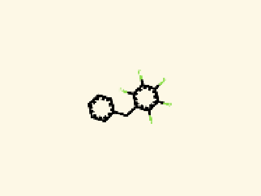 Fc1c(F)c(F)c([CH]c2ccccc2)c(F)c1F